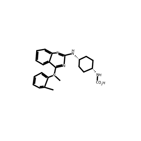 Cc1ccccc1N(C)c1nc(N[C@H]2CC[C@@H](NC(=O)O)CC2)nc2ccccc12